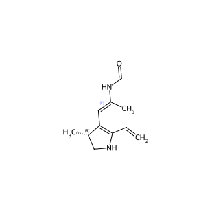 C=CC1=C(/C=C(\C)NC=O)[C@@H](C)CN1